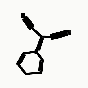 N#CC(C#N)=S1C=CCC=C1